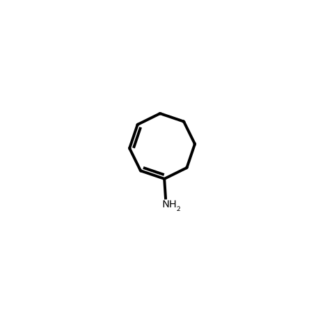 NC1=CC=CCCCC1